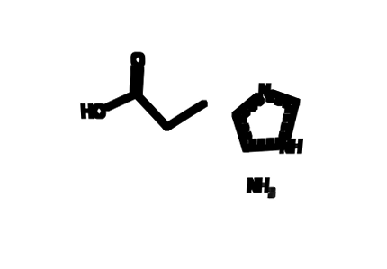 CCC(=O)O.N.c1c[nH]cn1